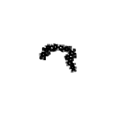 C[C@H]1CN([C@@H]2CCN3Cc4ccc5c(c4OC[C@H]3C2)C(=O)N(C2CCC(=O)NC2=O)C5=O)CCN1c1ccc(Nc2cc(-c3ccnc(N4CCn5c(cc6c5CC(C)(C)C6)C4=O)c3CO)cn(C)c2=O)nc1